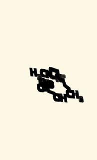 CCCC[n+]1ccn(C)c1.O=S(=O)([O-])CCO